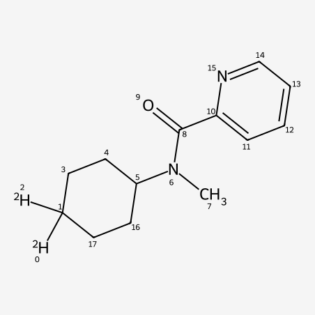 [2H]C1([2H])CCC(N(C)C(=O)c2ccccn2)CC1